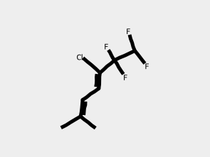 CC(C)=CC=C(Cl)C(F)(F)C(F)F